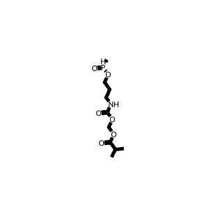 CC(C)C(=O)OCOC(=O)NCCCO[PH](C)=O